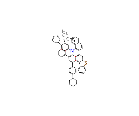 CC1(C)c2ccccc2-c2ccc(N(c3ccc(-c4ccc(C5CCCCC5)cc4)cc3-c3ccccc3)c3c(-c4ccc5c(c4)sc4ccccc45)ccc4ccccc34)cc21